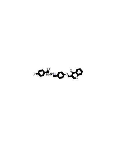 O=C(N/N=C/c1ccc(OCc2coc3ccccc3c2=O)cc1)c1ccc(Br)cc1